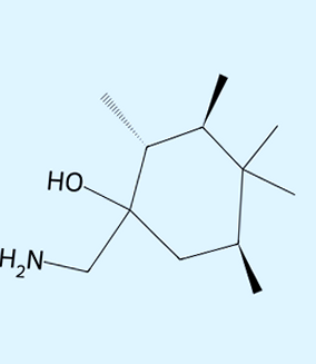 C[C@@H]1[C@@H](C)C(C)(C)[C@@H](C)CC1(O)CN